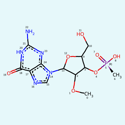 COC1C(O[P@](C)(=O)O)C(CO)OC1n1cnc2c(=O)[nH]c(N)nc21